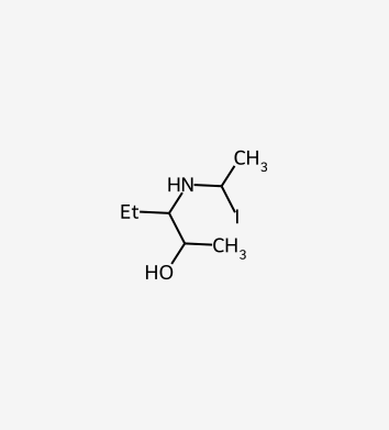 CCC(NC(C)I)C(C)O